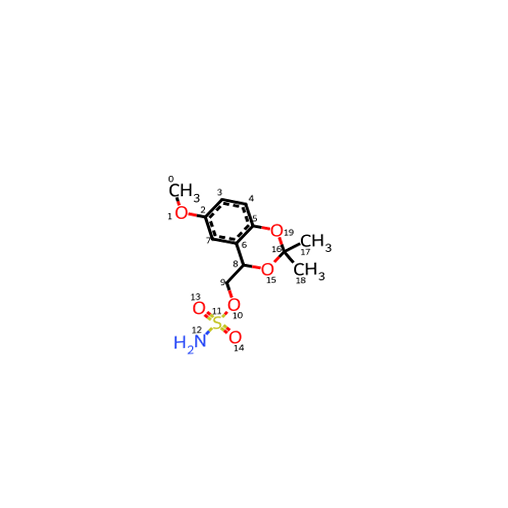 COc1ccc2c(c1)C(COS(N)(=O)=O)OC(C)(C)O2